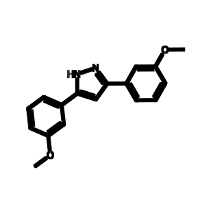 COc1cccc(-c2cc(-c3cccc(OC)c3)[nH]n2)c1